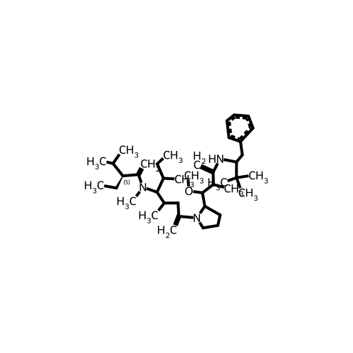 C=C(NC(Cc1ccccc1)C(C)(C)C)C(C)C(OC)C1CCCN1C(=C)CC(C)C(C(C)CC)N(C)C(=C)[C@@H](CC)C(C)C